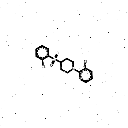 O=S(=O)(c1ccccc1Cl)C1CCN(c2ncccc2Cl)CC1